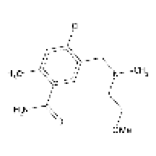 COCCN(C)Cc1cc(C(N)=O)c(C)cc1Cl